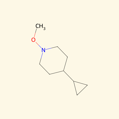 CON1CCC(C2CC2)CC1